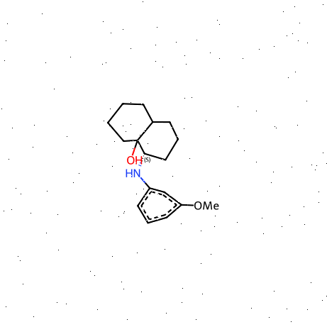 COc1cccc(N[C@H]2CCCC3CCCCC32O)c1